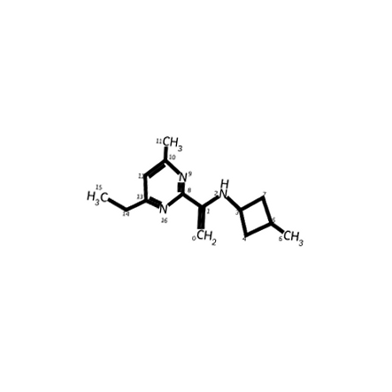 C=C(NC1CC(C)C1)c1nc(C)cc(CC)n1